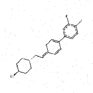 CC[C@H]1CC[C@H](CC=C2C=CC(c3ccc(F)c(F)c3)=CC2)CC1